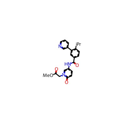 COC(=O)Cn1cc(NC(=O)c2ccc(C(C)C)c(-c3cccnc3)c2)ccc1=O